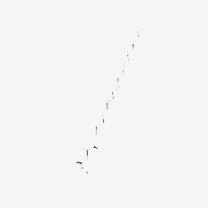 CCCCCCCCCCCCCCCCCCOC(=S)C(O)CC(O)=S